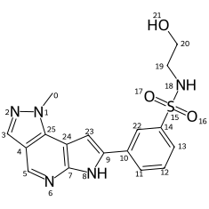 Cn1ncc2cnc3[nH]c(-c4cccc(S(=O)(=O)NCCO)c4)cc3c21